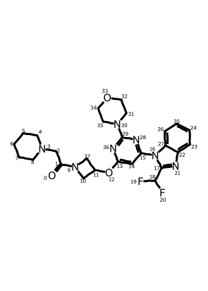 O=C(CN1CCCCC1)N1CC(Oc2cc(-n3c(C(F)F)nc4ccccc43)nc(N3CCOCC3)n2)C1